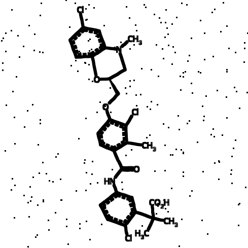 Cc1c(C(=O)Nc2ccc(Cl)c(C(C)(C)C(=O)O)c2)ccc(OC[C@@H]2CN(C)c3cc(Cl)ccc3O2)c1Cl